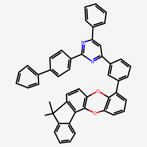 CC1(C)c2ccccc2-c2c1ccc1c2Oc2cccc(-c3cccc(-c4cc(-c5ccccc5)nc(-c5ccc(-c6ccccc6)cc5)n4)c3)c2O1